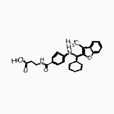 Cc1c(C(Nc2ccc(C(=O)NCCC(=O)O)cc2)C2CCCCC2)oc2ccccc12